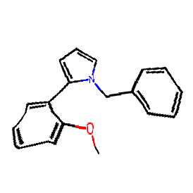 COc1ccccc1-c1cccn1Cc1ccccc1